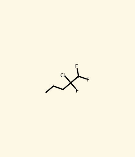 C[CH]CC(F)(Cl)[C](F)F